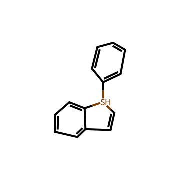 C1=C[SH](c2ccccc2)c2ccccc21